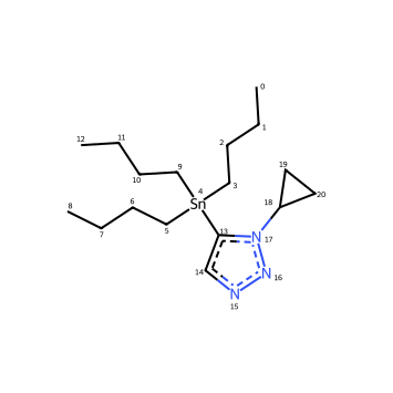 CCC[CH2][Sn]([CH2]CCC)([CH2]CCC)[c]1cnnn1C1CC1